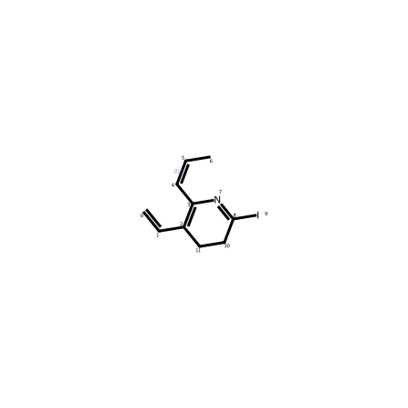 C=CC1=C(/C=C\C)N=C(I)CC1